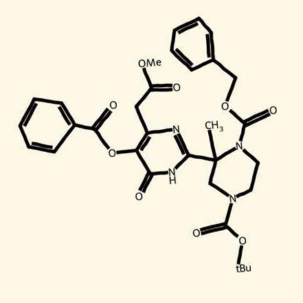 COC(=O)Cc1nc(C2(C)CN(C(=O)OC(C)(C)C)CCN2C(=O)OCc2ccccc2)[nH]c(=O)c1OC(=O)c1ccccc1